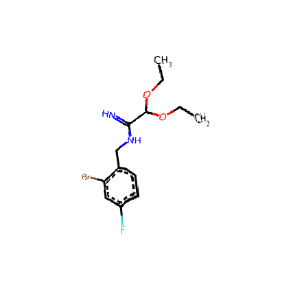 CCOC(OCC)C(=N)NCc1ccc(F)cc1Br